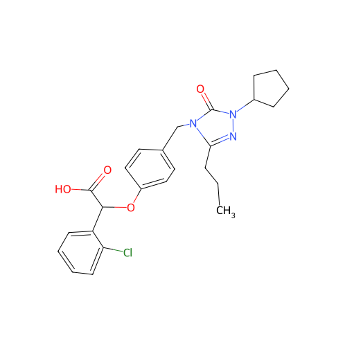 CCCc1nn(C2CCCC2)c(=O)n1Cc1ccc(OC(C(=O)O)c2ccccc2Cl)cc1